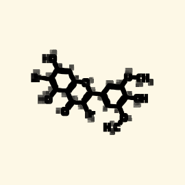 COc1cc(-c2oc3cc(O)c(Br)c(O)c3c(=O)c2Br)cc(OC)c1O